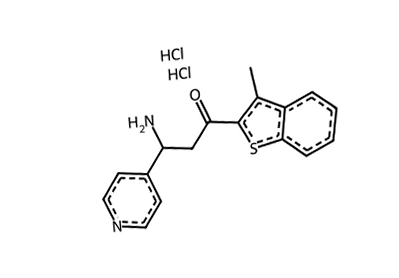 Cc1c(C(=O)CC(N)c2ccncc2)sc2ccccc12.Cl.Cl